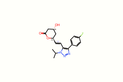 CC(C)n1nnc(-c2ccc(F)cc2)c1/C=C/[C@@H]1C[C@@H](O)CC(=O)O1